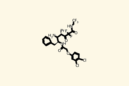 CC(C)[C@H](C(=O)C(F)(F)C(=O)NCC(F)(F)F)C(N)[C@H](Cc1ccccc1)NC(=O)COc1ccc(Cl)c(Cl)c1